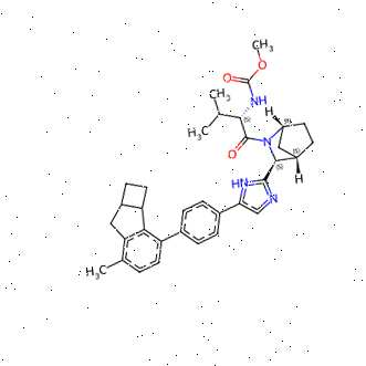 COC(=O)N[C@H](C(=O)N1[C@@H]2CC[C@@H](C2)[C@H]1c1ncc(-c2ccc(-c3ccc(C)c4c3C3CCC3C4)cc2)[nH]1)C(C)C